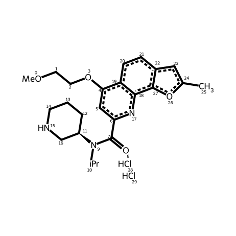 COCCOc1cc(C(=O)N(C(C)C)[C@@H]2CCCNC2)nc2c1ccc1cc(C)oc12.Cl.Cl